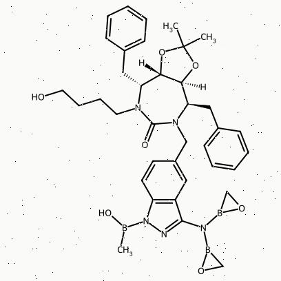 CB(O)n1nc(N(B2CO2)B2CO2)c2cc(CN3C(=O)N(CCCCO)[C@H](Cc4ccccc4)[C@@H]4OC(C)(C)O[C@H]4[C@H]3Cc3ccccc3)ccc21